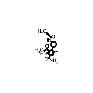 CC#CC(=O)NC1CCCC(c2c(F)cc(C(N)=O)c3[nH]c(C)c(Cl)c23)C1